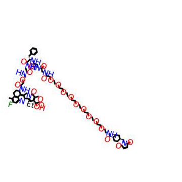 CC[C@@]1(O)C(=O)OCc2c1cc1n(c2=O)Cc2c-1nc1cc(F)c(C)c3c1c2[C@@H](NC(=O)COCNC(=O)CNC(=O)[C@H](Cc1ccccc1)NC(=O)CNC(=O)CNC(=O)COCCOCCOCCOCCOCCOCCOCCOCCOCCNC(=O)[C@H]1CC[C@H](CN2C(=O)C=CC2=O)CC1)CC3